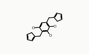 Clc1cc(CC2=CC=CC2)c(Cl)c(Cl)c1CC1=CC=CC1